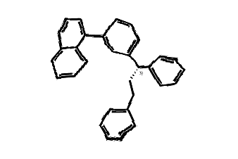 c1ccc(CC[C@@H](c2ccccc2)c2cccc(-c3cccc4ccccc34)c2)cc1